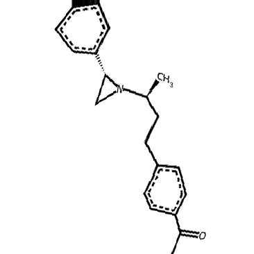 C[C@@H](CCc1ccc(C(N)=O)cc1)N1C[C@@H]1c1ccccc1